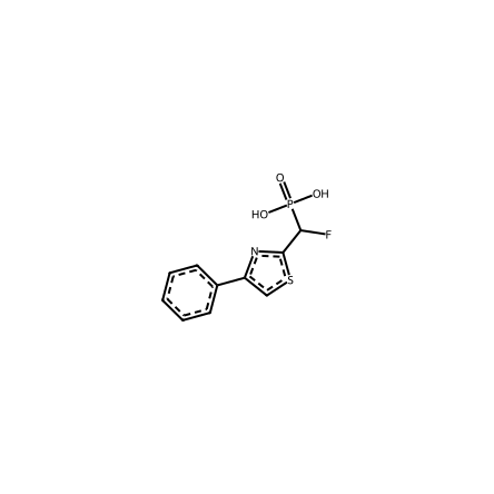 O=P(O)(O)C(F)c1nc(-c2ccccc2)cs1